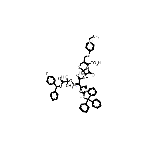 CC(C)(O/N=C(\C(=O)N[C@@H]1C(=O)N2C(C(=O)O)=C(CSc3cc[n+](CC(F)(F)F)cc3)CS[C@H]12)c1csc(NC(c2ccccc2)(c2ccccc2)c2ccccc2)n1)C(=O)OC(c1ccccc1)c1ccccc1.[I-]